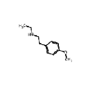 CCNCCc1ccc(OC)cc1